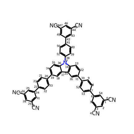 N#Cc1cc(C#N)cc(-c2ccc(-c3ccc4c(c3)c3cc(-c5ccc(-c6cc(C#N)cc(C#N)c6)cc5)ccc3n4-c3ccc(-c4cc(C#N)cc(C#N)c4)cc3)cc2)c1